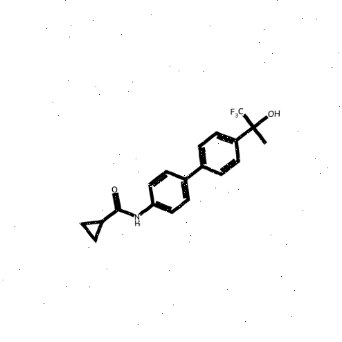 CC(O)(c1ccc(-c2ccc(NC(=O)C3CC3)cc2)cc1)C(F)(F)F